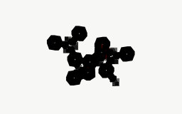 N#Cc1ccc(-n2c3ccccc3c3cc(-c4cc(-c5nc(-c6ccccc6)nc(-c6ccccc6)n5)ccc4-n4c5ccccc5c5ccccc54)ccc32)c(-c2nc(-c3ccccc3)nc(-c3ccccc3)n2)c1